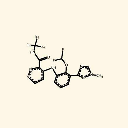 [2H]C([2H])([2H])NC(=O)c1nnccc1Nc1cccc(-c2ncn(C)n2)c1OC(F)F